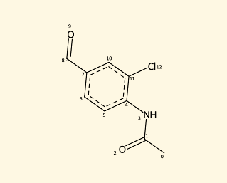 CC(=O)Nc1ccc([C]=O)cc1Cl